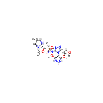 COc1ncnc(OC)c1-n1c(NS(=O)(=O)[C@@H](C)[C@@H](OC(C)C)c2ncc(C)cn2)nnc1[C@H]1CCOC1